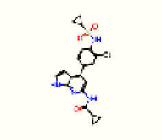 CCc1cc(-c2cc(NC(=O)C3CC3)nc3[nH]ccc23)ccc1NS(=O)(=O)C1CC1